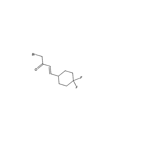 O=C(/C=C/C1CCC(F)(F)CC1)CBr